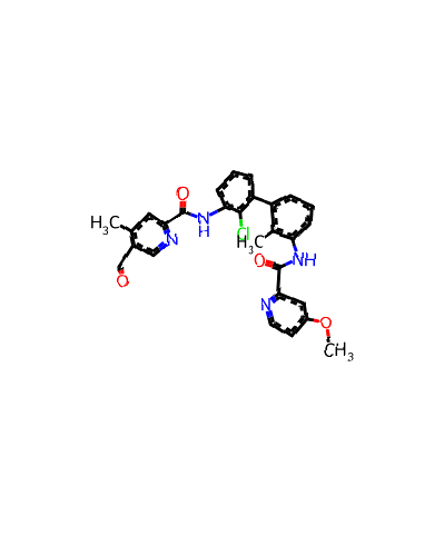 COc1ccnc(C(=O)Nc2cccc(-c3cccc(NC(=O)c4cc(C)c(C=O)cn4)c3Cl)c2C)c1